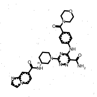 NC(=O)c1nnc(N2CCC[C@@H](NC(=O)c3ccn4ccnc4c3)C2)nc1Nc1ccc(C(=O)N2CCOCC2)cc1